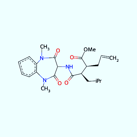 C=CC[C@H](C(=O)OC)[C@@H](CC(C)C)C(=O)NC1C(=O)N(C)c2ccccc2N(C)C1=O